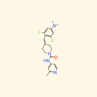 Cc1cc(NC(=O)N2CCC(=Cc3c(F)cc(N(C)C)cc3F)CC2)ccn1